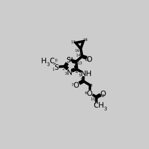 CSc1nc(NC(=O)COC(C)=O)c(C(=O)C2CC2)s1